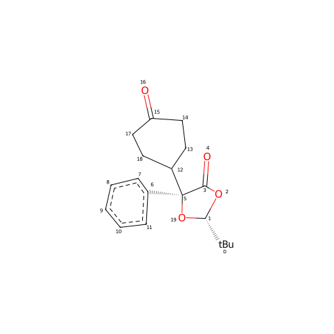 CC(C)(C)[C@H]1OC(=O)[C@](c2ccccc2)(C2CCC(=O)CC2)O1